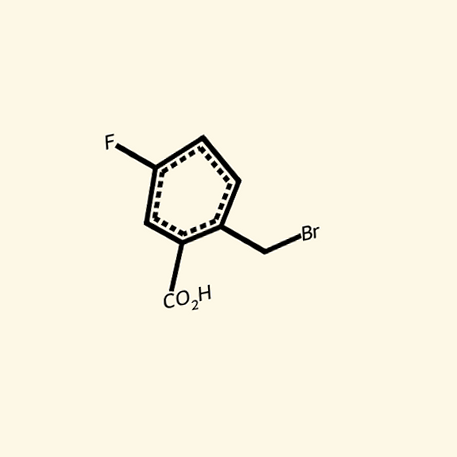 O=C(O)c1cc(F)ccc1CBr